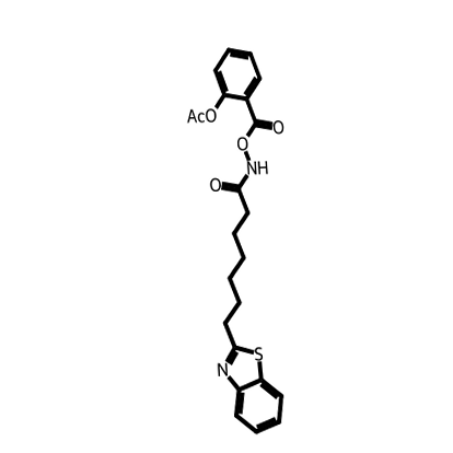 CC(=O)Oc1ccccc1C(=O)ONC(=O)CCCCCCc1nc2ccccc2s1